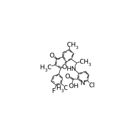 Cc1cc(C(C)Nc2ccc(Cl)nc2C(=O)O)c2oc(-c3ccc(F)c(C)c3)c(C)c(=O)c2c1